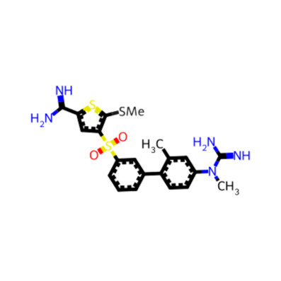 CSc1sc(C(=N)N)cc1S(=O)(=O)c1cccc(-c2ccc(N(C)C(=N)N)cc2C)c1